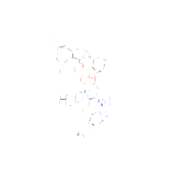 CC(C)Cc1ccc(Nc2cc(-c3cccc(-n4ccc5cc(C6CC6)cc(F)c5c4=O)c3CO)cn(C)c2=O)nc1